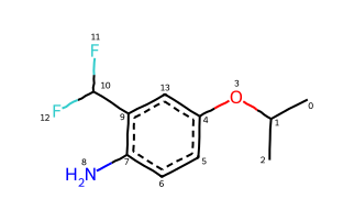 CC(C)Oc1ccc(N)c(C(F)F)c1